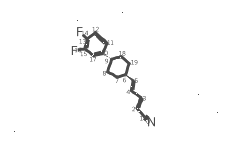 N#CC=CC=C[C@H]1CC[C@H](c2ccc(F)c(F)c2)CC1